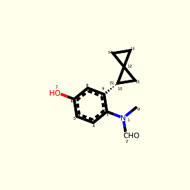 CN(C=O)c1ccc(O)cc1[C@H]1CC12CC2